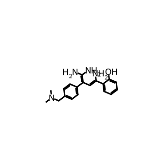 CN(C)Cc1ccc(C(/C=C(\N)c2ccccc2O)=C(N)N)cc1